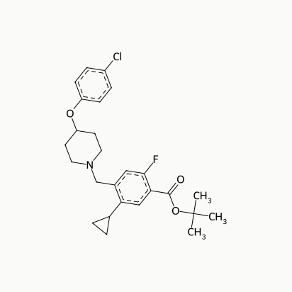 CC(C)(C)OC(=O)c1cc(C2CC2)c(CN2CCC(Oc3ccc(Cl)cc3)CC2)cc1F